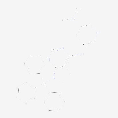 CN(C)[C@@H]1CNC[C@H](Nc2ncnc3c2ccn3C(c2ccccc2)(c2ccccc2)c2ccccc2)C1